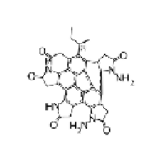 CC[C@@H](C)c1c(CC(C)=O)c2c3c(c4c5c(c6c7c(c8c9c(c1c1c2c4c6c81)CC(=O)N9N)CC(=O)N7N)CC(=O)N5)CC(=O)N3